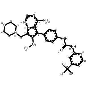 COc1c(-c2ccc(NC(=O)Nc3cc(C(F)(F)F)ccn3)cc2)c2c(N)ncnn2c1CN1CCOCC1